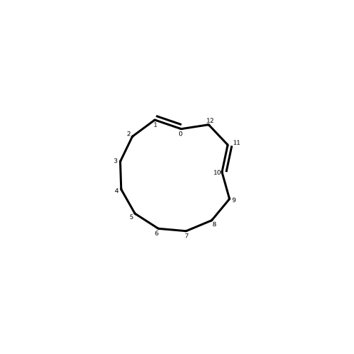 C1=C/CCCCCCCC/C=C/C/1